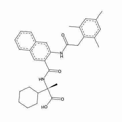 Cc1cc(C)c(CC(=O)Nc2cc3ccccc3cc2C(=O)N[C@](C)(C(=O)O)C2CCCCC2)c(C)c1